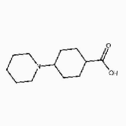 O=C(O)C1CCC(N2CCCCC2)CC1